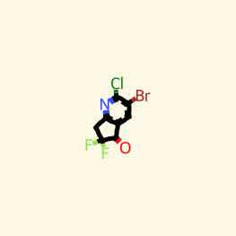 O=C1c2cc(Br)c(Cl)nc2CC1(F)F